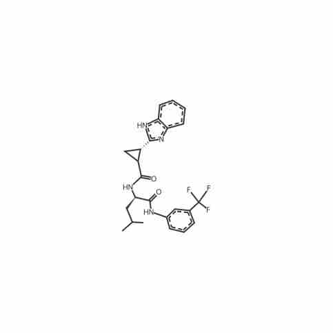 CC(C)C[C@@H](NC(=O)C1C[C@@H]1c1nc2ccccc2[nH]1)C(=O)Nc1cccc(C(F)(F)F)c1